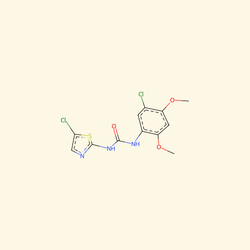 COc1cc(OC)c(NC(=O)Nc2ncc(Cl)s2)cc1Cl